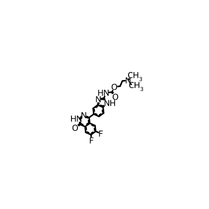 CN(C)CCOC(=O)Nc1nc2cc(-c3n[nH]c(=O)c4cc(F)c(F)cc34)ccc2[nH]1